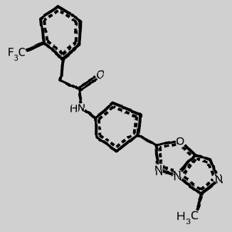 Cc1ncc2oc(-c3ccc(NC(=O)Cc4ccccc4C(F)(F)F)cc3)nn12